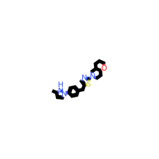 CC1C=CN(c2ccc(Cc3cnc(N4CCC5OCCCC5C4)s3)cc2)N1